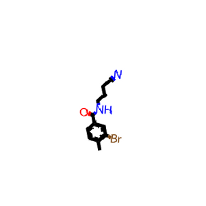 Cc1ccc(C(=O)NCCCC#N)cc1Br